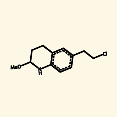 COC1CCc2cc(CCCl)ccc2N1